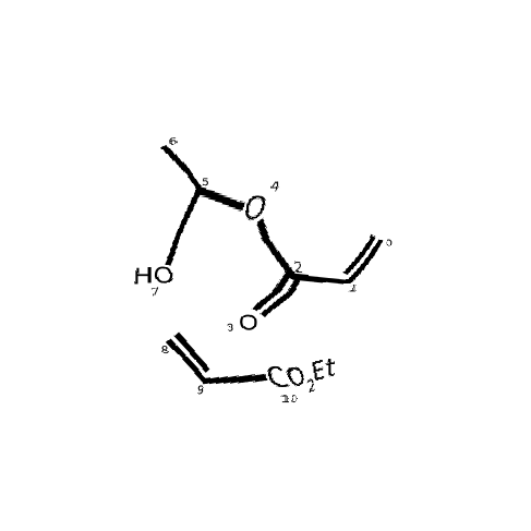 C=CC(=O)OC(C)O.C=CC(=O)OCC